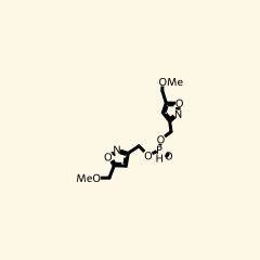 COCc1cc(CO[PH](=O)OCc2cc(COC)on2)no1